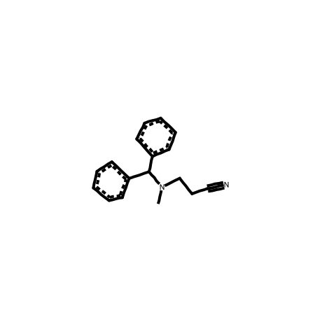 CN(CCC#N)C(c1ccccc1)c1ccccc1